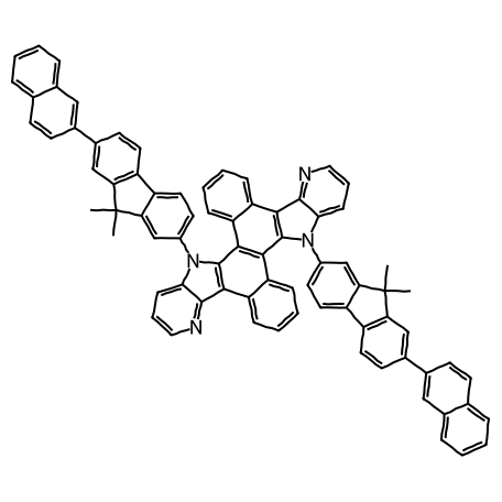 CC1(C)c2cc(-c3ccc4ccccc4c3)ccc2-c2ccc(-n3c4cccnc4c4c5ccccc5c5c(c6ccccc6c6c7ncccc7n(-c7ccc8c(c7)C(C)(C)c7cc(-c9ccc%10ccccc%10c9)ccc7-8)c65)c43)cc21